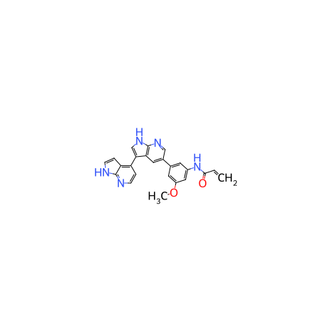 C=CC(=O)Nc1cc(OC)cc(-c2cnc3[nH]cc(-c4ccnc5[nH]ccc45)c3c2)c1